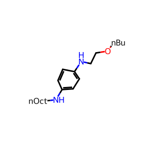 CCCCCCCCNc1ccc(NCCOCCCC)cc1